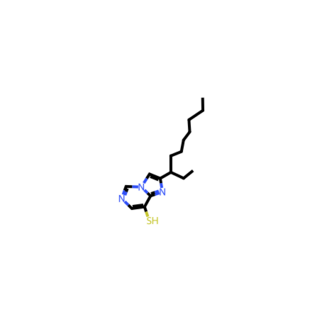 CCCCCCCC(CC)c1cn2cncc(S)c2n1